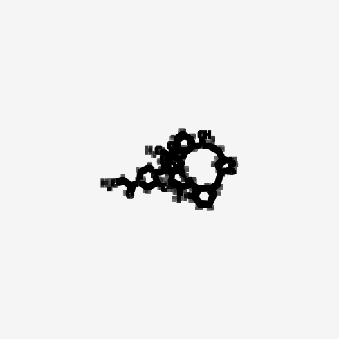 C=CC(=O)N1CCN(c2nc(=O)n3c4nc(c(F)cc24)-c2c(F)cccc2Cn2cc(nn2)CCN(C)c2cccc(C(C)C)c2-3)[C@@H](C)C1